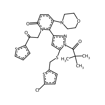 CC(C)(C)C(=O)n1nc(-c2c(N3CCOCC3)ccc(=O)n2CC(=O)c2cccs2)cc1SCc1ccc(Cl)s1